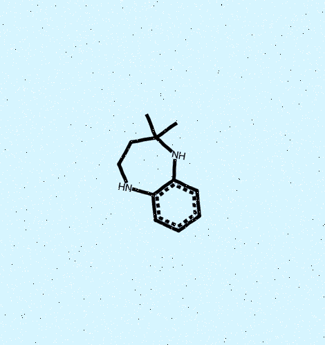 CC1(C)CCNc2ccccc2N1